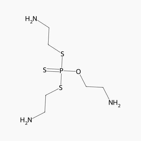 NCCOP(=S)(SCCN)SCCN